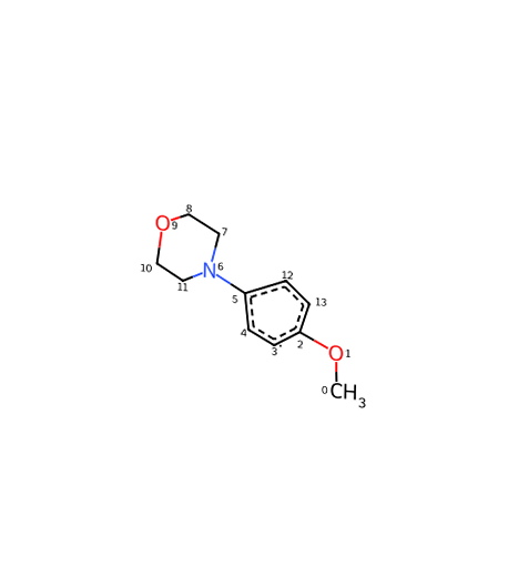 COc1[c]cc(N2CCOCC2)cc1